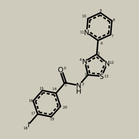 O=C(Nc1nc(-c2ccccn2)ns1)c1ccc(I)cc1